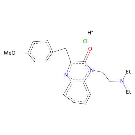 CCN(CC)CCn1c(=O)c(Cc2ccc(OC)cc2)nc2ccccc21.[Cl-].[H+]